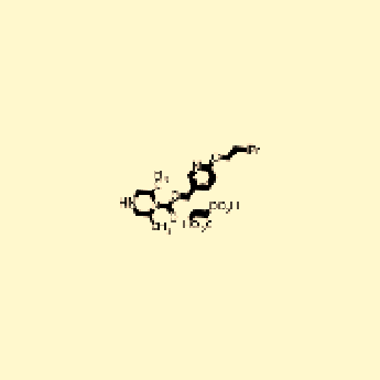 CC(C)CCOc1ccc(COC(=O)N2[C@H](C)CNC[C@@H]2C)cn1.O=C(O)/C=C/C(=O)O